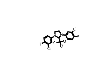 Fc1ccc(N2CCN(c3ccc(F)c(Cl)c3)C2C(Cl)(Cl)Cl)cc1Cl